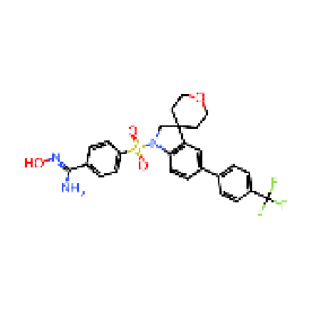 N/C(=N\O)c1ccc(S(=O)(=O)N2CC3(CCOCC3)c3cc(-c4ccc(C(F)(F)F)cc4)ccc32)cc1